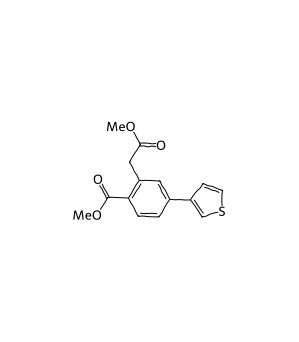 COC(=O)Cc1cc(-c2ccsc2)ccc1C(=O)OC